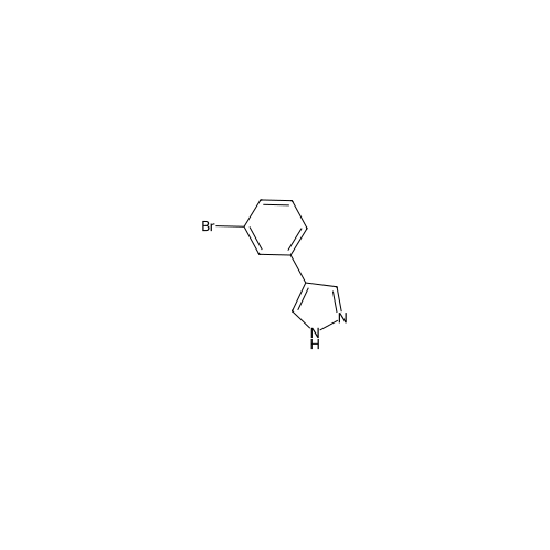 Brc1cccc(-c2cn[nH]c2)c1